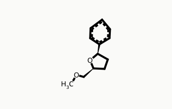 COC[C@@H]1CC[C@H](c2ccccc2)O1